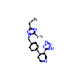 CCCc1nc(CC(C)C)nn1Cc1ccc(-c2ccncc2-c2nnn[nH]2)cc1